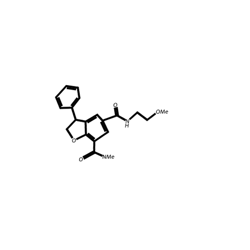 CNC(=O)c1cc(C(=O)NCCOC)cc2c1OCC2c1ccccc1